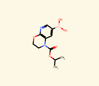 CC(C)OC(=O)N1CCOc2ncc(B(O)O)cc21